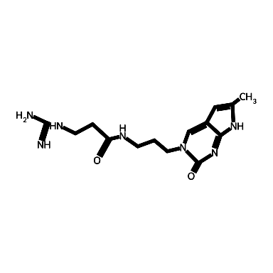 Cc1cc2cn(CCCNC(=O)CCNC(=N)N)c(=O)nc2[nH]1